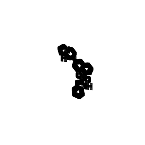 O=S(=O)(c1cc2ccccc2[nH]1)c1cccc2cc([C@@H]3CCN4CCC[C@H]4C3)ccc12